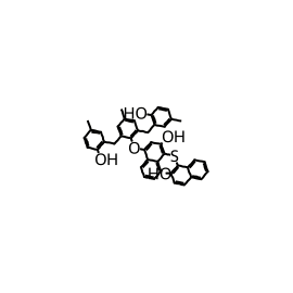 Cc1ccc(O)c(Cc2cc(C)cc(Cc3cc(C)ccc3O)c2Oc2cc(O)c(Sc3c(O)ccc4ccccc34)c3ccccc23)c1